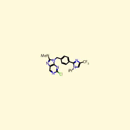 CNc1nc2cnc(Cl)nc2n1Cc1ccc(-c2nc(C(F)(F)F)cn2C(C)C)cc1